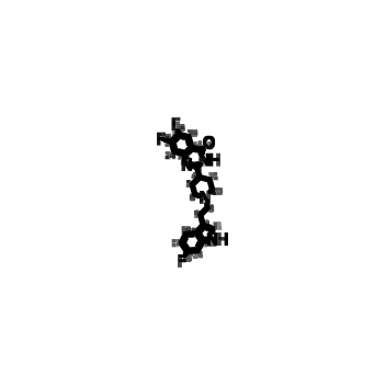 O=c1[nH]c(C2CCN(CCc3c[nH]c4cc(F)ccc34)CC2)nc2cc(F)c(F)cc12